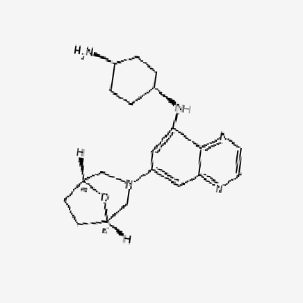 N[C@H]1CC[C@@H](Nc2cc(N3C[C@H]4CC[C@@H](C3)O4)cc3nccnc23)CC1